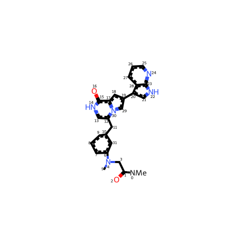 CNC(=O)CN(C)c1cccc(Cc2c[nH]c(=O)c3cc(-c4c[nH]c5ncccc45)cn23)c1